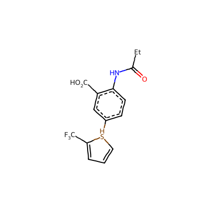 CCC(=O)Nc1ccc([SH]2C=CC=C2C(F)(F)F)cc1C(=O)O